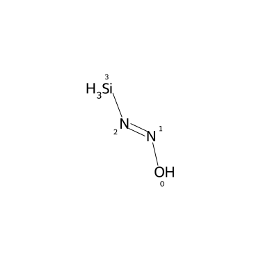 ON=N[SiH3]